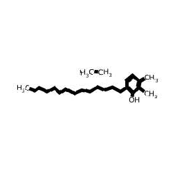 CC.CCCCCCCCCCCCCCc1ccc(C)c(C)c1O